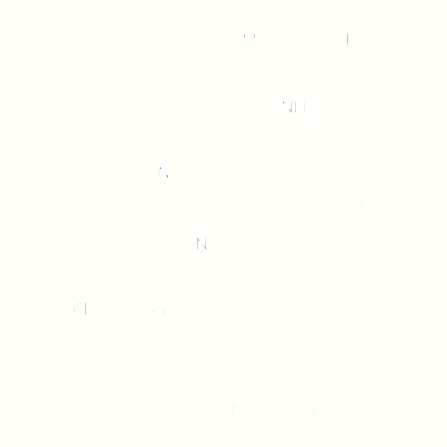 O=C(O)NCCc1nc2cccc(Cl)c2c(=O)n1-c1cc(C(F)F)cc(C(F)F)c1